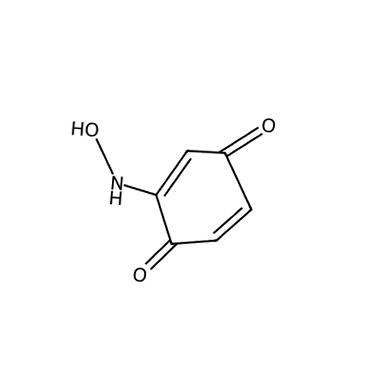 O=C1C=CC(=O)C(NO)=C1